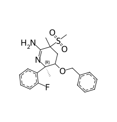 CC1(S(C)(=O)=O)CC(OCc2ccccc2)[C@@](C)(c2ccccc2F)N=C1N